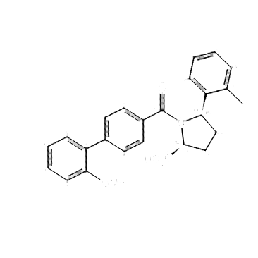 COc1ccccc1-c1ccc(C(=O)N2[C@@H](c3ccccc3C)CC[C@H]2C(=O)O)cc1